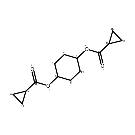 O=C(OC1CCC(OC(=O)C2CC2)CC1)C1CC1